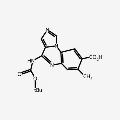 Cc1cc2nc(NC(=O)OC(C)(C)C)c3cncn3c2cc1C(=O)O